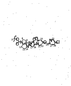 CC(C)(C)OC(=O)N1CCC2C1CCCN2c1ccc(-n2ccc(OCc3ccc(Cl)cn3)cc2=O)c(=O)[nH]1